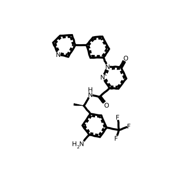 C[C@@H](NC(=O)c1ccc(=O)n(-c2cccc(-c3cccnc3)c2)n1)c1cc(N)cc(C(F)(F)F)c1